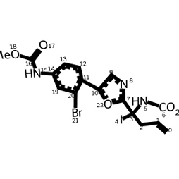 C=CCC(I)(NC(=O)O)c1ncc(-c2ccc(NC(=O)OC)cc2Br)o1